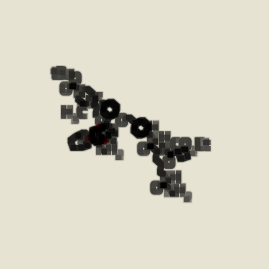 CCOC(=O)C1(C(=O)NC(CCCNC(N)=O)C(=O)Nc2ccc(COc3ccc(F)cc3-c3cc(N4CC5CCC(C4)N5c4ccnc(OCCN5CCN(C(=O)OC(C)(C)C)C[C@H]5C)c4)c(N)nn3)cc2)CCC1